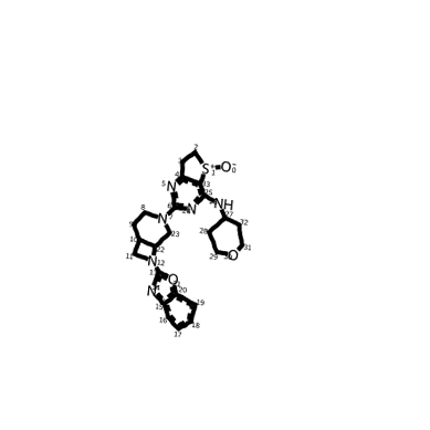 [O-][S+]1CCc2nc(N3CCC4CN(c5nc6ccccc6o5)C4C3)nc(NC3CCOCC3)c21